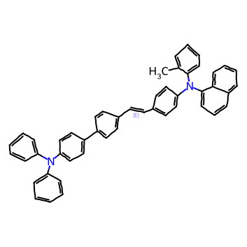 Cc1ccccc1N(c1ccc(/C=C/c2ccc(-c3ccc(N(c4ccccc4)c4ccccc4)cc3)cc2)cc1)c1cccc2ccccc12